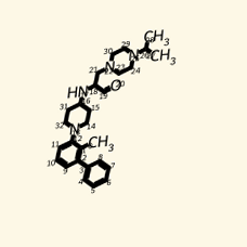 Cc1c(-c2ccccc2)cccc1N1CCC(NC(C=O)CN2CCN(C(C)C)CC2)CC1